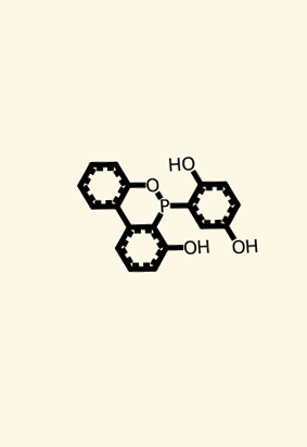 Oc1ccc(O)c(P2Oc3ccccc3-c3cccc(O)c32)c1